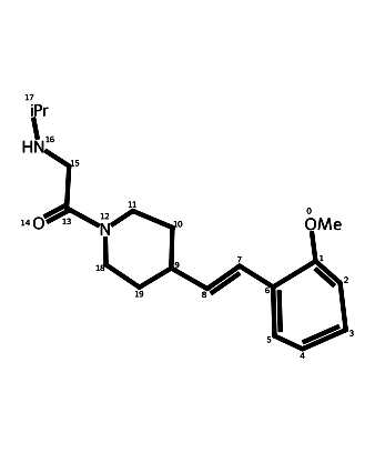 COc1ccccc1/C=C/C1CCN(C(=O)CNC(C)C)CC1